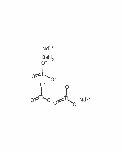 [BaH2].[Nd+3].[Nd+3].[O]=[Ti]([O-])[O-].[O]=[Ti]([O-])[O-].[O]=[Ti]([O-])[O-]